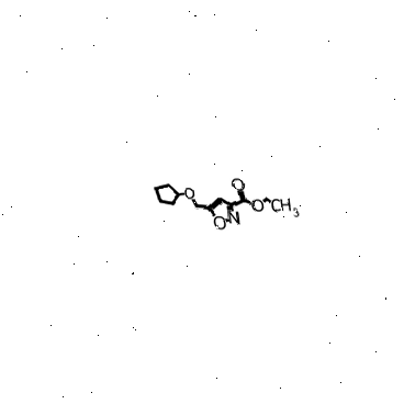 CCOC(=O)c1cc(COC2CCCC2)on1